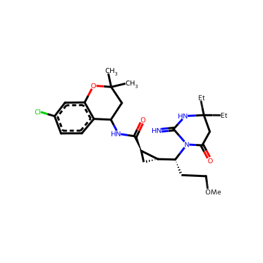 CCC1(CC)CC(=O)N([C@H](CCOC)[C@@H]2C[C@H]2C(=O)NC2CC(C)(C)Oc3cc(Cl)ccc32)C(=N)N1